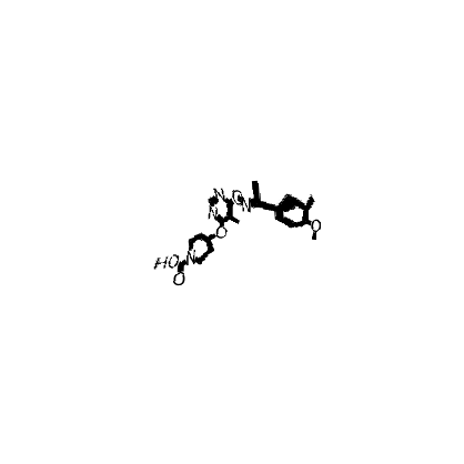 COc1ccc(C(C)=NOc2ncnc(OC3CCN(C(=O)O)CC3)c2C)cc1C